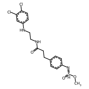 CO[SH](=O)=Nc1ccc(CCC(=O)NCCNc2ccc(Cl)c(Cl)c2)cc1